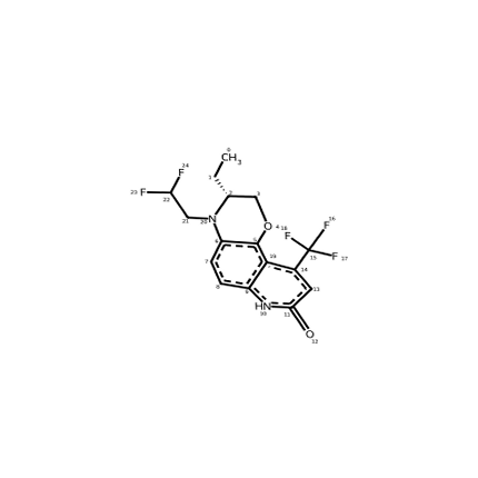 CC[C@@H]1COc2c(ccc3[nH]c(=O)cc(C(F)(F)F)c23)N1CC(F)F